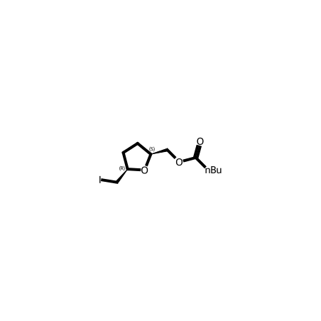 CCCCC(=O)OC[C@@H]1CC[C@H](CI)O1